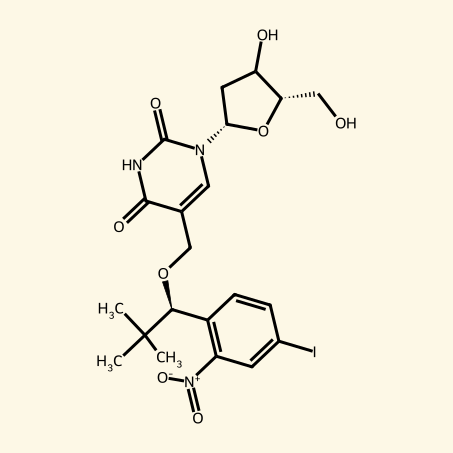 CC(C)(C)[C@@H](OCc1cn([C@@H]2CC(O)[C@H](CO)O2)c(=O)[nH]c1=O)c1ccc(I)cc1[N+](=O)[O-]